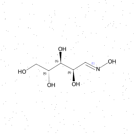 OC[C@@H](O)[C@@H](O)[C@H](O)/C=N/O